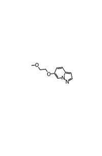 COCCOc1ccc2ccnn2c1